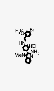 CNc1c2ccccc2nc(N)c1[C@H]1CC[C@@H](NCCc2ccc(Br)cc2OC(F)(F)F)CC1.Cl.Cl